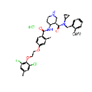 COc1ccccc1CN(C(=O)C1CNCCC1NC(=O)c1ccc(OCCOc2c(Cl)cc(C)cc2Cl)cc1C)C1CC1.Cl